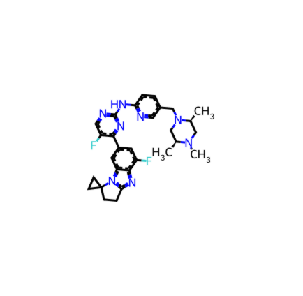 C[C@H]1CN(Cc2ccc(Nc3ncc(F)c(-c4cc(F)c5nc6n(c5c4)C4(CC6)CC4)n3)nc2)[C@@H](C)CN1C